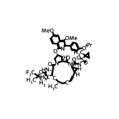 COc1ccc2c(O[C@@H]3C[C@H]4C(=O)N[C@]5(C(=O)NS(=O)(=O)C6(C)CC6)C[C@H]5/C=C\CC[C@H](C)C[C@@H](C)[C@H](NC(=O)OC(C)(C)C(F)(F)F)C(=O)N4C3)nc(-c3ccc(OC(C)C)cc3)c(OC)c2c1